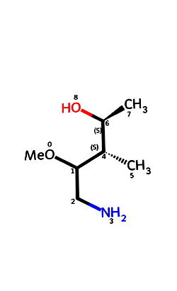 COC(CN)[C@@H](C)[C@H](C)O